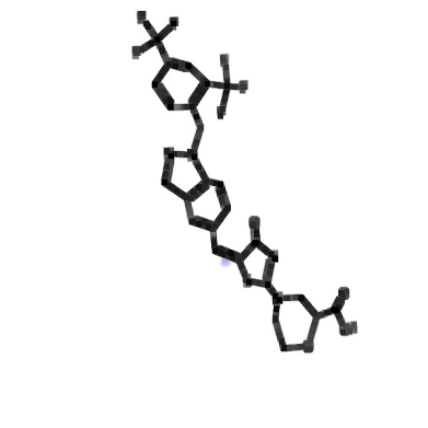 O=C1N=C(N2CCOC(C(=O)O)C2)S/C1=C/c1ccc2c(cnn2Cc2ccc(C(F)(F)F)cc2C(F)(F)F)c1